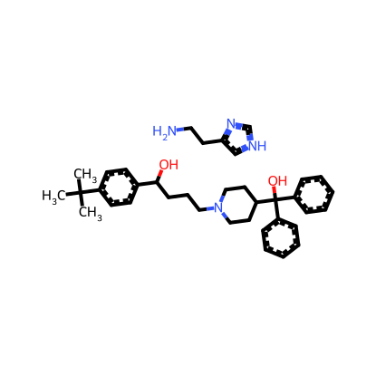 CC(C)(C)c1ccc(C(O)CCCN2CCC(C(O)(c3ccccc3)c3ccccc3)CC2)cc1.NCCc1c[nH]cn1